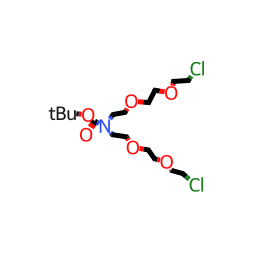 CC(C)(C)OC(=O)N(CCOCCOCCCl)CCOCCOCCCl